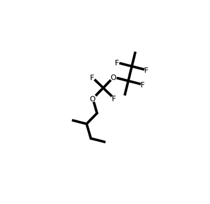 CCC(C)COC(F)(F)OC(C)(F)C(C)(F)F